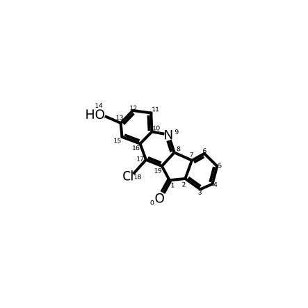 O=C1c2ccccc2-c2nc3ccc(O)cc3c(Cl)c21